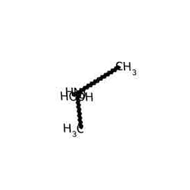 CCCCCCCCCCCCCCCCCCCCCCCC(=O)NC(CO)C(O)CCCCCCCCCCCCCCC